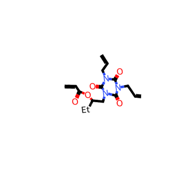 C=CCn1c(=O)n(CC=C)c(=O)n(CC(CC)OC(=O)C=C)c1=O